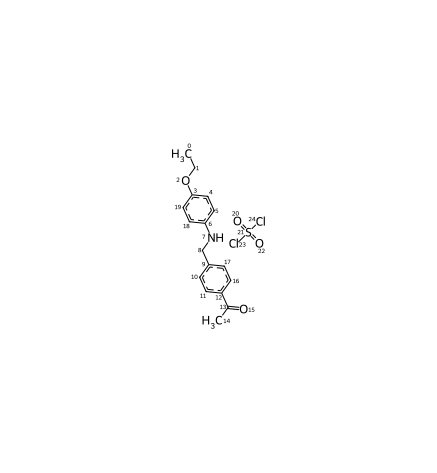 CCOc1ccc(NCc2ccc(C(C)=O)cc2)cc1.O=S(=O)(Cl)Cl